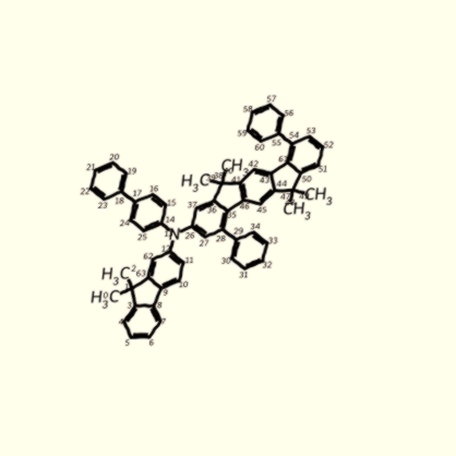 CC1(C)c2ccccc2-c2ccc(N(c3ccc(-c4ccccc4)cc3)c3cc(-c4ccccc4)c4c(c3)C(C)(C)c3cc5c(cc3-4)C(C)(C)c3cccc(-c4ccccc4)c3-5)cc21